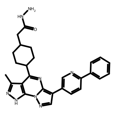 Cc1n[nH]c2c1c(C1CCC(CC(=O)NN)CC1)nc1c(-c3ccc(-c4ccccc4)nc3)cnn12